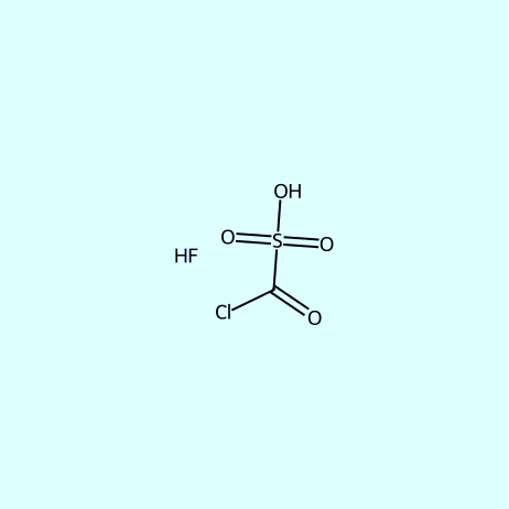 F.O=C(Cl)S(=O)(=O)O